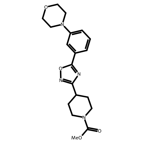 COC(=O)N1CCC(c2noc(-c3cccc(N4CCOCC4)c3)n2)CC1